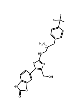 N[C@@H](CNc1nc(CO)c(-c2ccc3[nH]c(=O)oc3c2)s1)Cc1ccc(C(F)(F)F)cc1